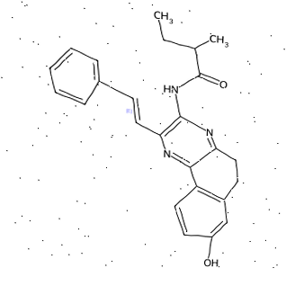 CCC(C)C(=O)Nc1nc2c(nc1/C=C/c1ccccc1)-c1ccc(O)cc1CC2